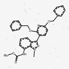 Cn1nc(-c2ccc(OCc3ccccc3)nc2OCc2ccccc2)c2cccc(NC(=O)OC(C)(C)C)c21